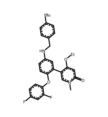 CCOc1cc(=O)n(C)cc1-c1cc(NCc2ccc(C(C)(C)C)cc2)ccc1Oc1ccc(F)cc1F